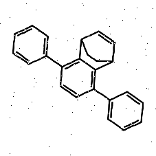 C1=CC2CCC1c1c(-c3ccccc3)ccc(-c3ccccc3)c12